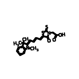 CN1C(=CC=CC=C2SC(=S)N(CC(=O)O)C2=O)C(C)(C)c2ccccc21